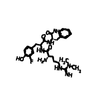 CN(C)C(=N)NCCC[C@H](N)C(=O)N[C@@H](Cc1ccc(O)c(F)c1)C(=O)N[C@@H](Cc1ccccc1)C(N)=O